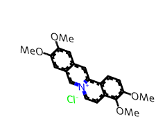 COc1cc2cc3c4ccc(OC)c(OC)c4cc[n+]3cc2cc1OC.[Cl-]